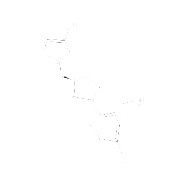 Cc1csc(N[C@H]2CCN(c3ccc(Br)cc3CO)C2)n1